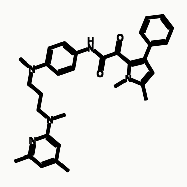 Cc1cc(C)nc(N(C)CCCN(C)c2ccc(NC(=O)C(=O)c3c(-c4ccccc4)cc(C)n3C)cc2)c1